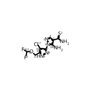 NC(=S)c1cnn(-c2n[nH]c(COC(F)F)c2Cl)c1N